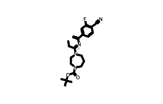 C=C(/N=C(\CC)N1CCCN(C(=O)OC(C)(C)C)CC1)c1ccc(C#N)c(F)c1